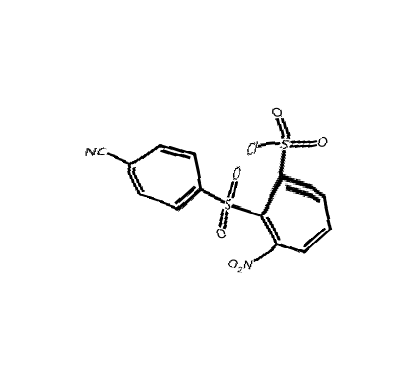 N#Cc1ccc(S(=O)(=O)c2c([N+](=O)[O-])cccc2S(=O)(=O)Cl)cc1